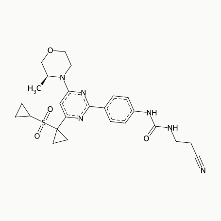 C[C@H]1COCCN1c1cc(C2(S(=O)(=O)C3CC3)CC2)nc(-c2ccc(NC(=O)NCCC#N)cc2)n1